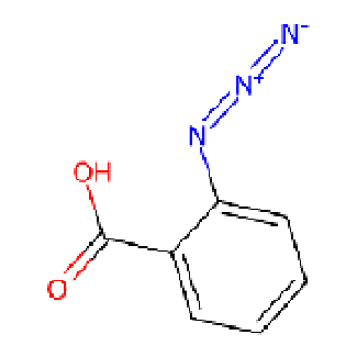 [N-]=[N+]=Nc1ccccc1C(=O)O